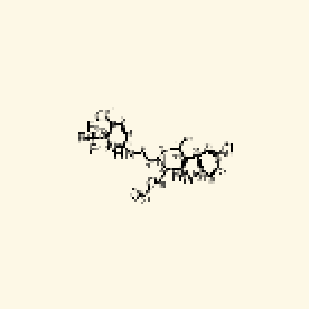 CC1CN(CCNc2ccc(Cl)c(C(F)(F)F)n2)C(COC=O)c2[nH]c3ccc(Cl)cc3c21